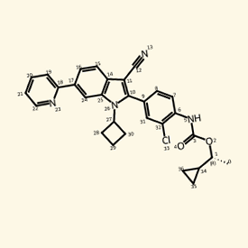 C[C@@H](OC(=O)Nc1ccc(-c2c(C#N)c3ccc(-c4ccccn4)cc3n2C2CCC2)cc1Cl)C1CC1